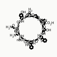 CCCC[C@H]1C(=O)N(C)[C@@H](CCCC)C(=O)N[C@@H](CCN)C(=O)N[C@H](C(=O)NCC(N)=O)CSCC(=O)N[C@@H](Cc2ccc(O)cc2)C(=O)N(C)[C@@H](C)C(=O)N[C@@H](CC(N)=O)C(=O)N2CCC[C@H]2C(=O)N[C@@H](Cc2cnc[nH]2)C(=O)N[C@@H](CCC(=O)O)C(=O)N2C[C@H](O)C[C@H]2C(=O)N[C@@H](Cc2csc3ccccc23)C(=O)N[C@@H](C)C(=O)N[C@@H](Cc2c[nH]c3ccccc23)C(=O)N1C